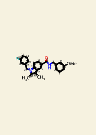 COc1cccc(CNC(=O)c2ccc3c(c2)c(C)c(C)n3Cc2cccc(F)c2)c1